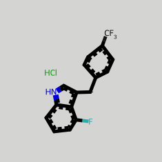 Cl.Fc1cccc2[nH]cc([CH]c3ccc(C(F)(F)F)cc3)c12